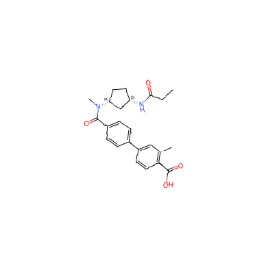 CCC(=O)N[C@H]1CC[C@@H](N(C)C(=O)c2ccc(-c3ccc(C(=O)O)c(C)c3)cc2)C1